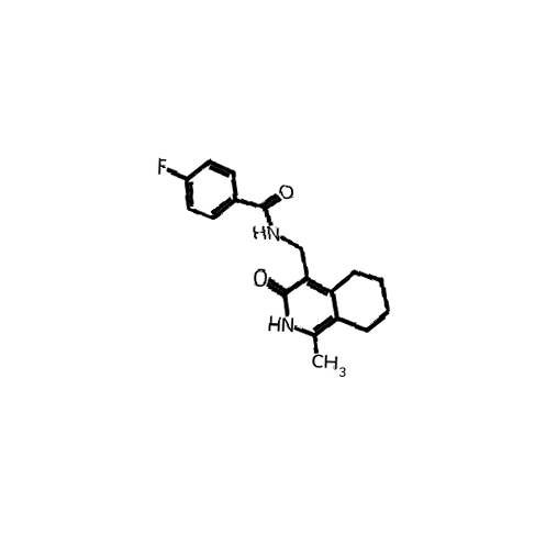 Cc1[nH]c(=O)c(CNC(=O)c2ccc(F)cc2)c2c1CCCC2